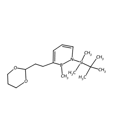 CB1C(CCC2OCCCO2)=CC=CN1[Si](C)(C)C(C)(C)C